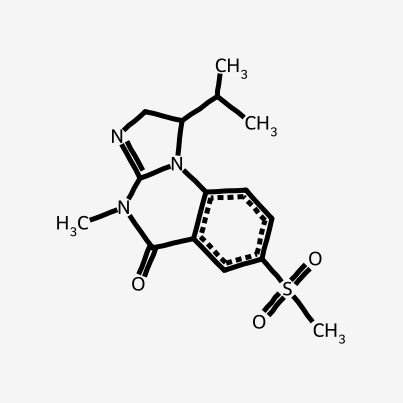 CC(C)C1CN=C2N(C)C(=O)c3cc(S(C)(=O)=O)ccc3N21